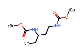 CC(C)(C)OC(=O)NCC[C@@H](CC#N)NC(=O)OC(C)(C)C